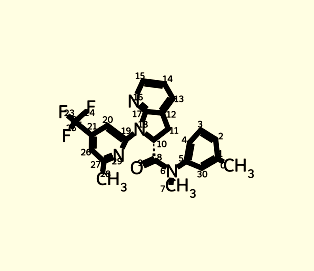 Cc1cccc(N(C)C(=O)[C@H]2Cc3cccnc3N2c2cc(C(F)(F)F)cc(C)n2)c1